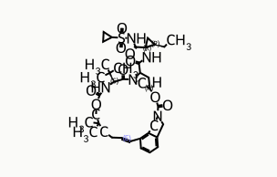 CC[C@@H]1C[C@]1(NC(=O)C1C[C@@H]2CN1C(=O)[C@H](C(C)(C)C)NC(=O)OCC(C)(C)CC/C=C/c1cccc3c1CN(C3)C(=O)O2)C(=O)NS(=O)(=O)C1CC1